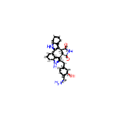 Cc1[nH]c2ccccc2c1C1=C(c2c(Cc3ccc(CN)c(O)c3)[nH]c3ccccc23)C(=O)NC1=O